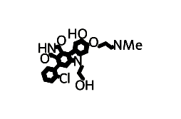 CNCCCOc1cc2c(cc1O)c1c3c(c(-c4ccccc4Cl)cc1n2CCCO)C(=O)NC3=O